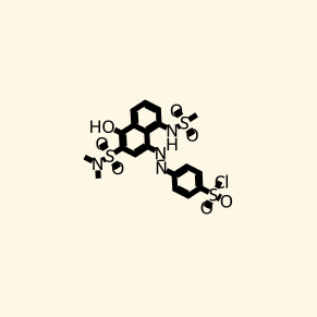 CN(C)S(=O)(=O)c1cc(N=Nc2ccc(S(=O)(=O)Cl)cc2)c2c(NS(C)(=O)=O)cccc2c1O